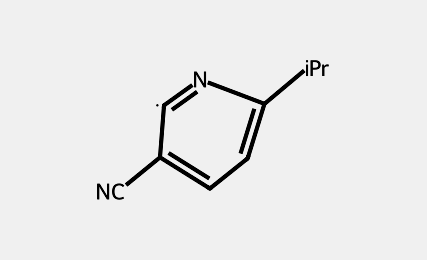 CC(C)c1ccc(C#N)[c]n1